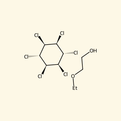 CCOCCO.Cl[C@H]1[C@H](Cl)[C@@H](Cl)[C@@H](Cl)[C@H](Cl)[C@H]1Cl